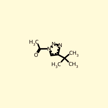 CC(=O)n1cc(C(C)(C)C)nn1